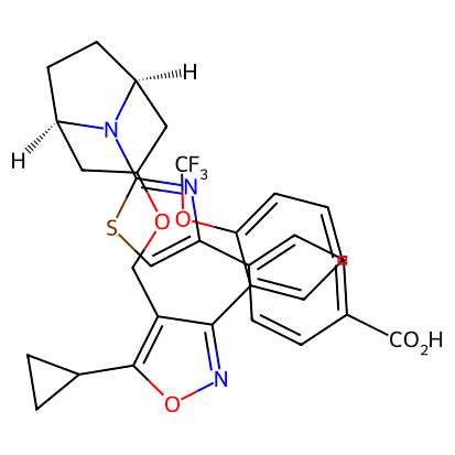 O=C(O)c1ccc(-c2csc(N3[C@@H]4CC[C@H]3CC(OCc3c(-c5ccccc5OC(F)(F)F)noc3C3CC3)C4)n2)cc1